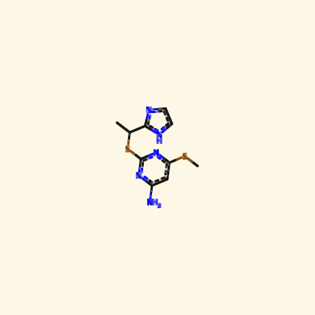 CSc1cc(N)nc(SC(C)c2ncc[nH]2)n1